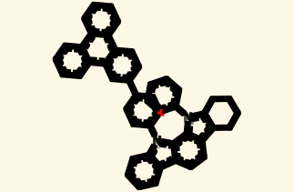 c1ccc(-n2c3c(c4ccc5c6ccccc6n(-c6ccc(-c7ccc8c9ccccc9c9ccccc9c8c7)cc6)c5c42)CCCC3)cc1